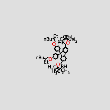 CCCCC(CC)COc1ccc(C2(c3ccc(OCC(CC)CCCC)cc3)c3cc(C4BC(C)(C)C(C)(C)O4)ccc3-c3ccc(C4BC(C)(C)C(C)(C)O4)cc32)cc1